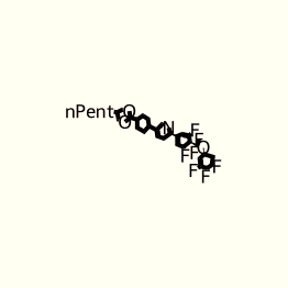 CCCCCC1COC(C2CCC(C3=CC[C@H](C4=CC(F)[C@H](C(F)(F)O[C@H]5C=C(F)C(F)[C@@H](F)C5)C(F)=C4)N=C3)CC2)OC1